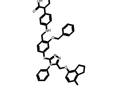 CCC(C(=O)O)c1ccc(NCc2ccc(Sc3nnc(COc4ccc(C)c5c4CCC5)n3-c3ccccc3)cc2OCc2ccccc2)cc1